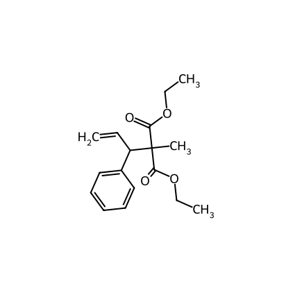 C=CC(c1ccccc1)C(C)(C(=O)OCC)C(=O)OCC